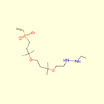 C=CS(=O)(=O)CCC(C)(C)OCCC(C)(C)OCCNNCC